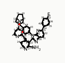 N#Cc1nccc(N2CC3CCC(C2)N3Cc2ccc(-n3c(-c4cccnc4N)nc4ccc(-c5ccc(F)cc5)nc43)cc2)n1